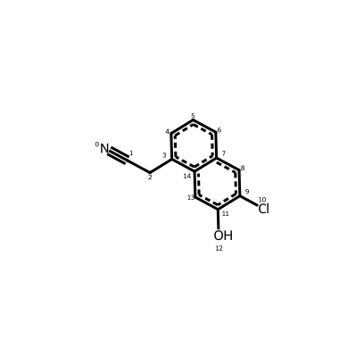 N#CCc1cccc2cc(Cl)c(O)cc12